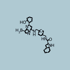 Bc1cnn2c(NCc3ccc(CNC(=O)c4cc5ccccc5[nH]4)cc3)cc(-c3ccccc3O)nc12